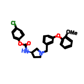 COc1ccccc1Oc1cccc(CN2CC[C@@H](NC(=O)Oc3ccc(Cl)cc3)C2)c1